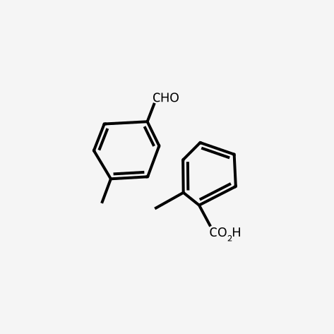 Cc1ccc(C=O)cc1.Cc1ccccc1C(=O)O